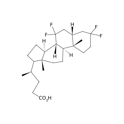 C[C@H](CCC(=O)O)C1CC[C@H]2[C@H]3[C@H](CC[C@]12C)[C@@]1(C)CCC(F)(F)C[C@H]1CC3(F)F